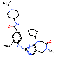 COc1cc(C(=O)NC2CCN(C)CC2)ccc1Nc1ncc2c(n1)N(C1CCCC1)CC(=O)N(C)C2